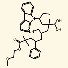 CCC(CC(C)(CC(CN)CC(CC(C)(C)C(=O)OCCOC)c1ccccc1)C(O)O)n1c2ccccc2c2ccccc21